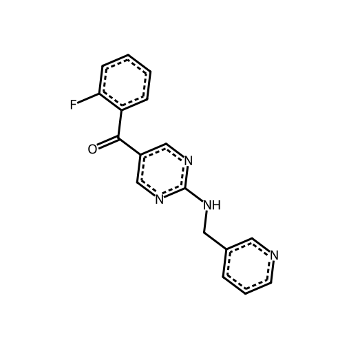 O=C(c1cnc(NCc2cccnc2)nc1)c1ccccc1F